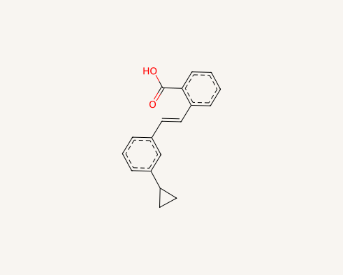 O=C(O)c1ccccc1C=Cc1cccc(C2CC2)c1